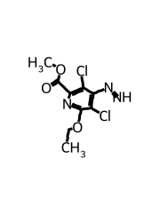 CCOc1nc(C(=O)OC)c(Cl)c(N=N)c1Cl